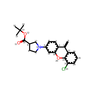 C=C1c2ccc(N3CCC(C(=O)OC(C)(C)C)C3)cc2Oc2c(Cl)cccc21